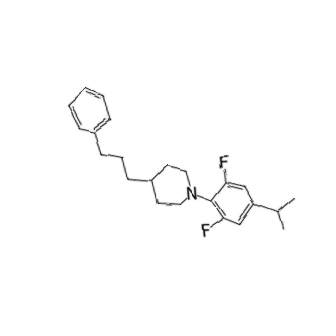 CC(C)c1cc(F)c(N2CCC(CCCc3ccccc3)CC2)c(F)c1